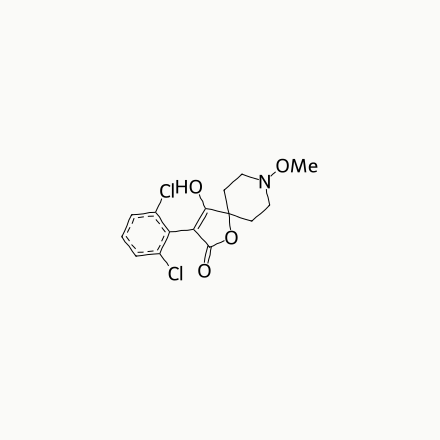 CON1CCC2(CC1)OC(=O)C(c1c(Cl)cccc1Cl)=C2O